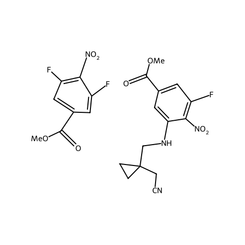 COC(=O)c1cc(F)c([N+](=O)[O-])c(F)c1.COC(=O)c1cc(F)c([N+](=O)[O-])c(NCC2(CC#N)CC2)c1